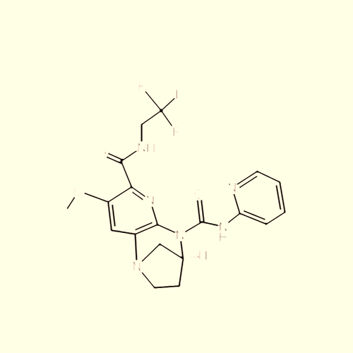 COc1cc2c(nc1C(=O)NCC(F)(F)F)N(C(=O)Nc1ccccn1)[C@H]1CCN2C1